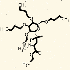 CCCCOC[C@H]1O[C@H](C(F)(F)C[C@@H](N)C(=O)OCC)[C@H](OCOC)[C@@H](OCCCC)[C@H]1OCCCC